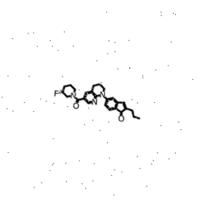 CCCC1=Cc2cc(N3CCCc4cc(C(=O)N5CCC[C@@H](F)C5)cnc43)ccc2C1=O